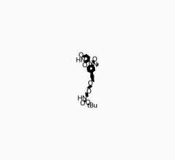 Cn1c(=O)n(C2CCC(=O)NC2=O)c2ccc(C#CCOCCOCCNC(=O)OC(C)(C)C)cc21